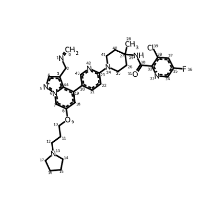 C=NCc1cnn2cc(OCCCN3CCCC3)cc(-c3ccc(N4CCC(C)(NC(=O)c5ncc(F)cc5Cl)CC4)nc3)c12